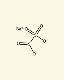 O=S([O-])S(=O)(=O)[O-].[Ba+2]